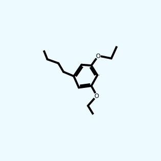 CCCCc1cc(OCC)[c]c(OCC)c1